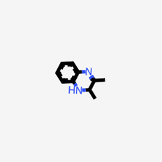 CC1=Nc2ccccc2NC1C